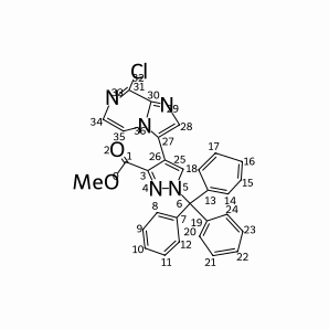 COC(=O)c1nn(C(c2ccccc2)(c2ccccc2)c2ccccc2)cc1-c1cnc2c(Cl)nccn12